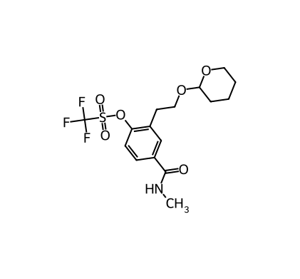 CNC(=O)c1ccc(OS(=O)(=O)C(F)(F)F)c(CCOC2CCCCO2)c1